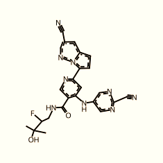 CC(C)(O)C(F)CNC(=O)c1cnc(-c2ccc3cc(C#N)cnn23)cc1Nc1cnc(C#N)nc1